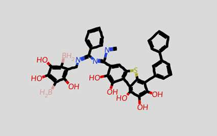 Bc1c(O)c(O)c(B)c(C/N=C(\N=C(/N=C)c2cc3sc4c(-c5cccc(-c6ccccc6)c5)c(O)c(O)c(O)c4c3c(O)c2O)c2ccccc2)c1O